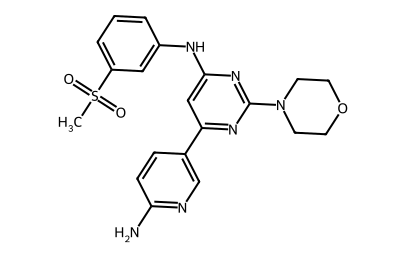 CS(=O)(=O)c1cccc(Nc2cc(-c3ccc(N)nc3)nc(N3CCOCC3)n2)c1